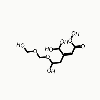 O=C(/C=C(/CC(O)OCOCO)C(O)O)OO